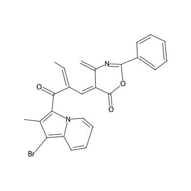 C=c1nc(-c2ccccc2)oc(=O)c1=CC(=CC)C(=O)c1c(C)c(Br)c2ccccn12